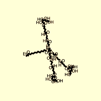 CCC(C)(C)C(=O)CCCCCCCCCCC(=O)NC(COCCC(=O)NCCCNC(=O)CCCCO[C@H]1OC(CO)[C@@H](O)C(O)C1O)(COCCC(=O)NCCCNC(=O)CCCCO[C@H]1OC(CO)[C@@H](O)C(O)C1O)COCCC(=O)NCCCNC(=O)CCCCO[C@H]1OC(CO)[C@@H](O)C(O)C1O